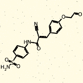 N#C/C(=C\c1ccc(OCC=O)cc1)C(=O)Nc1ccc(S(N)(=O)=O)cc1